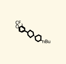 CCCC[C@H]1CC[C@H](C2CCC(c3ccc(OC(F)(F)F)cc3)CC2)CC1